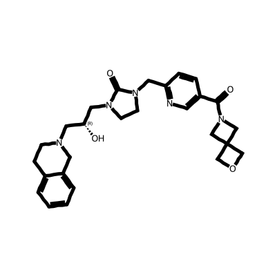 O=C(c1ccc(CN2CCN(C[C@H](O)CN3CCc4ccccc4C3)C2=O)nc1)N1CC2(COC2)C1